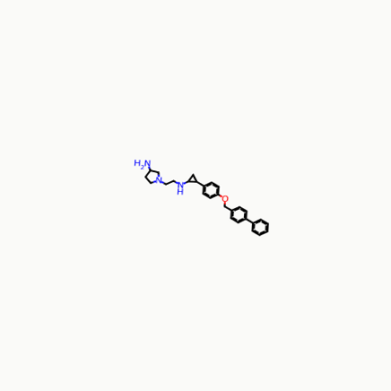 NC1CCN(CCNC2CC2c2ccc(OCc3ccc(-c4ccccc4)cc3)cc2)C1